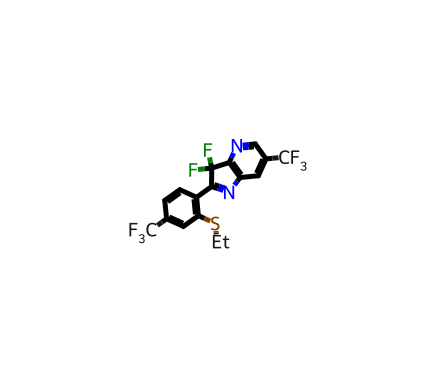 CCSc1cc(C(F)(F)F)ccc1C1=Nc2cc(C(F)(F)F)cnc2C1(F)F